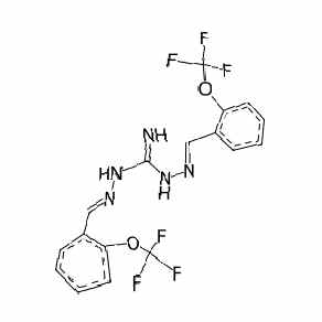 N=C(N/N=C/c1ccccc1OC(F)(F)F)N/N=C/c1ccccc1OC(F)(F)F